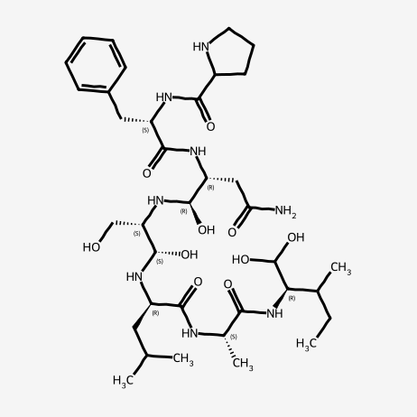 CCC(C)[C@@H](NC(=O)[C@H](C)NC(=O)[C@@H](CC(C)C)N[C@@H](O)[C@H](CO)N[C@H](O)[C@@H](CC(N)=O)NC(=O)[C@H](Cc1ccccc1)NC(=O)C1CCCN1)C(O)O